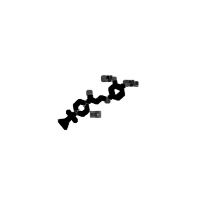 COc1ccc(OCCC(=O)N2CCN(C(C)(C)C3CC3)CC2)cc1OC.Cl